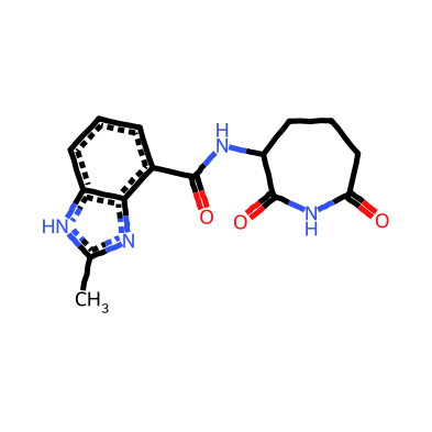 Cc1nc2c(C(=O)NC3CCCC(=O)NC3=O)cccc2[nH]1